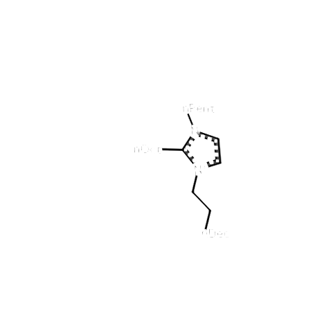 CCCCCCCCCCCC[n+]1ccn(CCCCC)c1CCCCCCCC